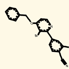 N#Cc1ccc(-c2nccc(OCc3ccccc3)c2Br)cc1F